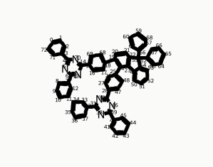 c1ccc(-c2nc(-c3ccccc3)nc(-c3ccc(-c4ccc5c(c4-c4ccc(-c6nc(-c7ccccc7)nc(-c7ccccc7)n6)cc4)-c4ccccc4C5(c4ccccc4)c4ccccc4)cc3)n2)cc1